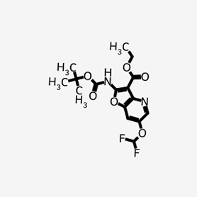 CCOC(=O)c1c(NC(=O)OC(C)(C)C)oc2cc(OC(F)F)cnc12